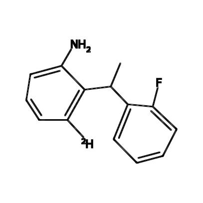 [2H]c1cccc(N)c1C(C)c1ccccc1F